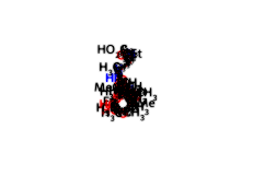 CC[C@H]1OC(=O)[C@H](C)[C@@H](O[C@H]2C[C@@](C)(OC)[C@@H](OC(=O)NCCN(C)CCCc3ccc4c(c3)c(=O)c(C(=O)O)cn4CC)[C@H](C)O2)[C@H](C)[C@@H](O[C@@H]2O[C@H](C)C[C@H](N(C)C)[C@H]2O)[C@](C)(OC)C[C@@H](C)C(=O)[C@H](C)[C@@H](O)[C@]1(C)O